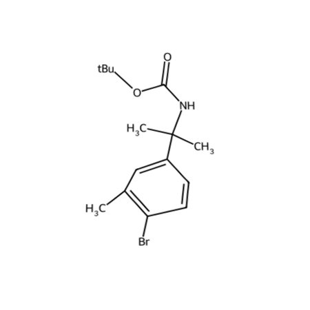 Cc1cc(C(C)(C)NC(=O)OC(C)(C)C)ccc1Br